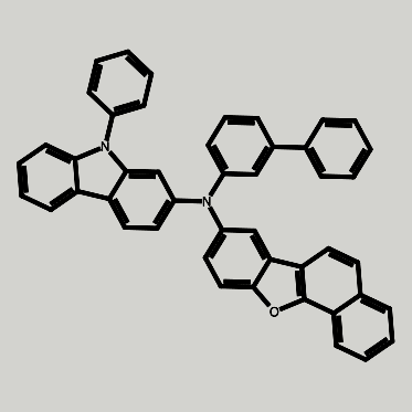 c1ccc(-c2cccc(N(c3ccc4oc5c6ccccc6ccc5c4c3)c3ccc4c5ccccc5n(-c5ccccc5)c4c3)c2)cc1